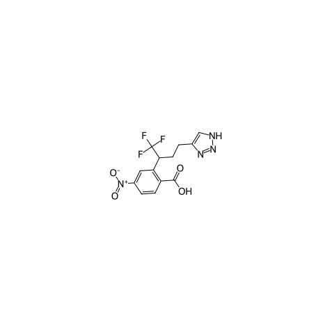 O=C(O)c1ccc([N+](=O)[O-])cc1C(CCc1c[nH]nn1)C(F)(F)F